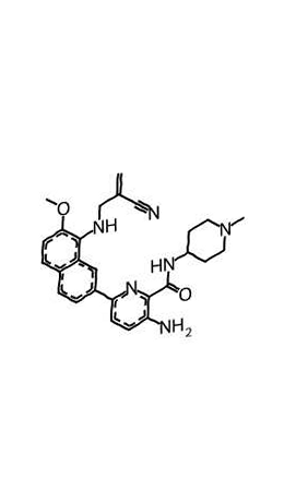 C=C(C#N)CNc1c(OC)ccc2ccc(-c3ccc(N)c(C(=O)NC4CCN(C)CC4)n3)cc12